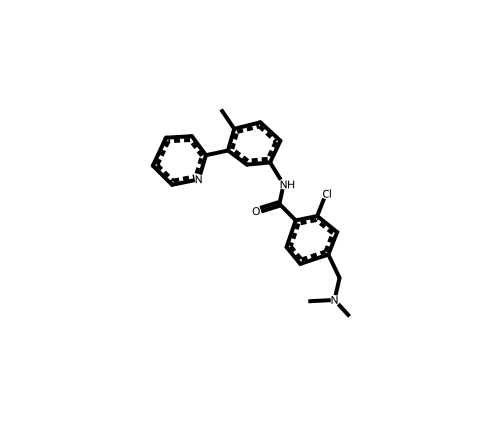 Cc1ccc(NC(=O)c2ccc(CN(C)C)cc2Cl)cc1-c1ccccn1